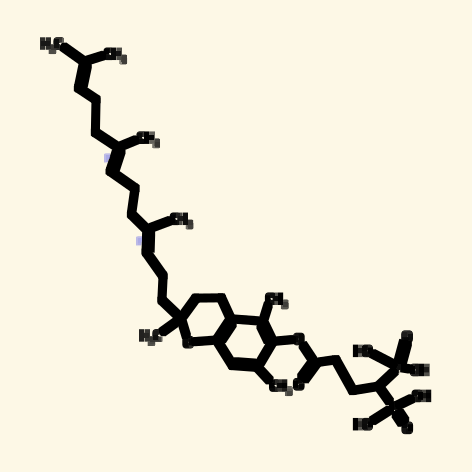 CC(C)=CCC/C(C)=C/CC/C(C)=C/CCC1(C)CCc2c(cc(C)c(OC(=O)CCC(P(=O)(O)O)P(=O)(O)O)c2C)O1